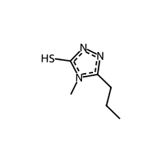 CCCc1nnc(S)n1C